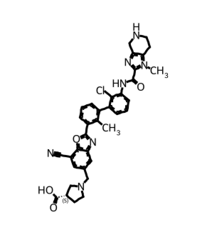 Cc1c(-c2nc3cc(CN4CC[C@H](C(=O)O)C4)cc(C#N)c3o2)cccc1-c1cccc(NC(=O)c2nc3c(n2C)CCNC3)c1Cl